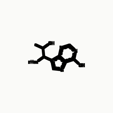 CCCCCCC(C(C)O)n1cnc2c(O)ncnc21